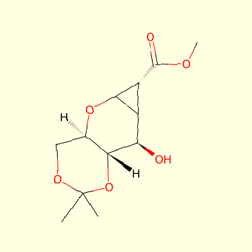 COC(=O)[C@H]1C2O[C@@H]3COC(C)(C)O[C@H]3[C@H](O)C21